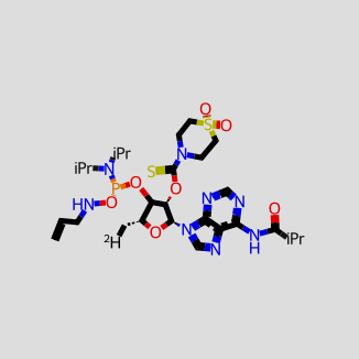 [2H]C[C@H]1O[C@@H](n2cnc3c(NC(=O)C(C)C)ncnc32)[C@@H](OC(=S)N2CCS(=O)(=O)CC2)C1OP(ONCC=C)N(C(C)C)C(C)C